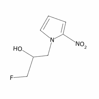 O=[N+]([O-])c1cccn1CC(O)CF